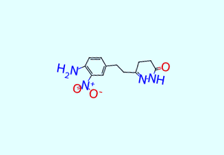 Nc1ccc(CCC2=NNC(=O)CC2)cc1[N+](=O)[O-]